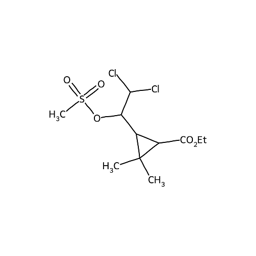 CCOC(=O)C1C(C(OS(C)(=O)=O)C(Cl)Cl)C1(C)C